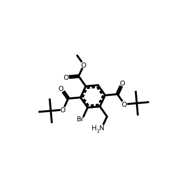 COC(=O)c1cc(C(=O)OC(C)(C)C)c(CN)c(Br)c1C(=O)OC(C)(C)C